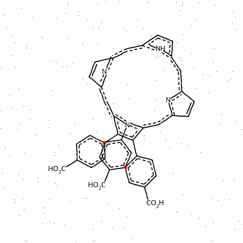 O=C(O)c1ccc(-c2c(-c3ccc(C(=O)O)cc3)c3cc4nc(cc5ccc(cc6nc(cc2n3-c2ccc(C(=O)O)cc2)C=C6)[nH]5)C=C4)cc1